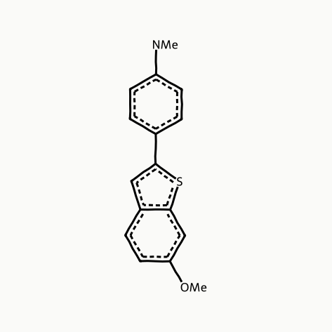 CNc1ccc(-c2cc3ccc(OC)cc3s2)cc1